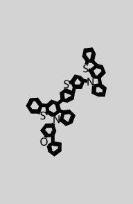 c1ccc2c(c1)oc1ccc(-n3c4ccccc4c4c(-c5ccc6c(c5)sc5ccc(-n7c8ccccc8c8ccc9c%10ccccc%10sc9c87)cc56)cc5c6ccccc6sc5c43)cc12